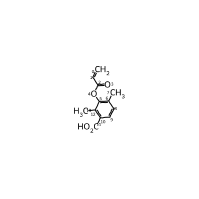 C=CC(=O)Oc1c(C)ccc(C(=O)O)c1C